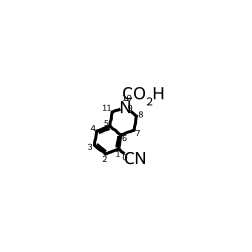 N#Cc1cccc2c1CCN(C(=O)O)C2